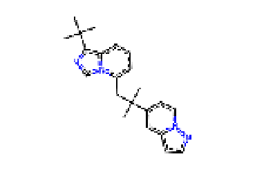 CC(C)(C)c1ncn2c(CC(C)(C)c3ccn4nccc4c3)cccc12